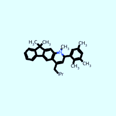 Cc1cc(C)c(C)c(C2C=C(CC(C)C)c3cc4c(cc3N2C)C(C)(C)c2ccccc2-4)c1